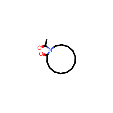 CC(=O)N1CCCCCCCCCCCCC1=O